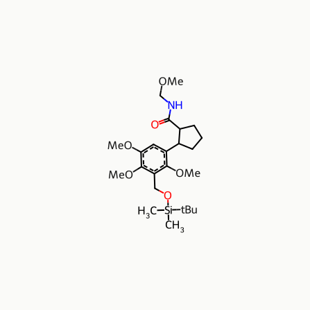 COCNC(=O)C1CCCC1c1cc(OC)c(OC)c(CO[Si](C)(C)C(C)(C)C)c1OC